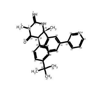 CN1C(=N)N[C@](C)(c2cccc(-c3cccnc3)c2)[C@@H](c2ccc(C(C)(C)C)cc2)C1=O